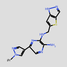 CC(C)n1cc(-c2cnc(N)c(NCc3cc4[nH]ncc4s3)n2)cn1